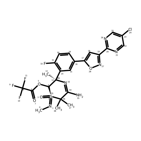 CN=[S@@]1(=O)C(OC(=O)C(F)(F)F)[C@@](C)(c2cc(-c3cc(-c4ncc(Cl)cn4)no3)ccc2F)N=C(N)C1(C)C